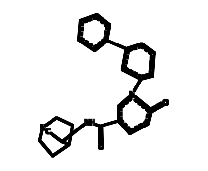 O=C(NC1CN2CCC1CC2)c1ccc(=O)n(-c2cccc(-c3ccccc3)c2)c1